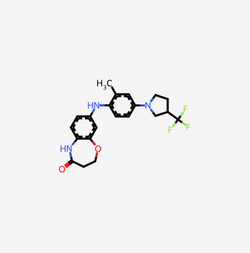 Cc1cc(N2CCC(C(F)(F)F)C2)ccc1Nc1ccc2c(c1)OCCC(=O)N2